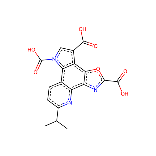 CC(C)c1ccc2c(n1)c1nc(C(=O)O)oc1c1c(C(=O)O)cn(C(=O)O)c21